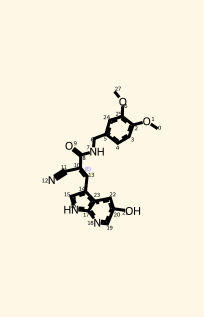 COc1ccc(CNC(=O)/C(C#N)=C/c2c[nH]c3ncc(O)cc23)cc1OC